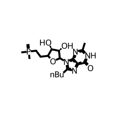 C=P(C)(C)CCC1OC(n2c(CCCC)nc3c(=O)[nH]c(C)nc32)[C@H](O)[C@@H]1O